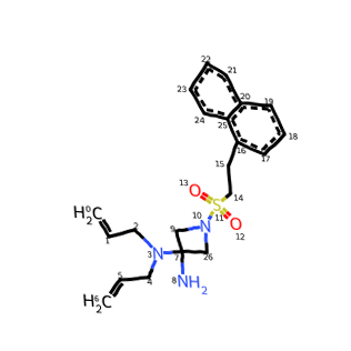 C=CCN(CC=C)C1(N)CN(S(=O)(=O)CCc2cccc3ccccc23)C1